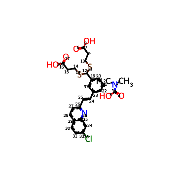 CN(C)C(=O)O.O=C(O)CCSC(SCCC(=O)O)c1cccc(C=Cc2ccc3ccc(Cl)cc3n2)c1